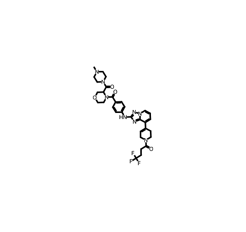 CN1CCN(C(=O)C2COCCN2C(=O)c2ccc(Nc3nc4c(C5=CCN(C(=O)CCC(F)(F)F)CC5)cccn4n3)cc2)CC1